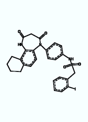 O=C1CC(=O)N(c2ccc(NS(=O)(=O)Cc3ccccc3I)cc2)c2ccc3c(c2N1)CCCC3